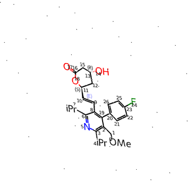 COCc1c(C(C)C)nc(C(C)C)c(/C=C/[C@@H]2C[C@@H](O)CC(=O)O2)c1-c1ccc(F)cc1